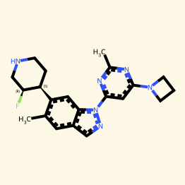 Cc1nc(N2CCC2)cc(-n2ncc3cc(C)c([C@@H]4CCNC[C@@H]4F)cc32)n1